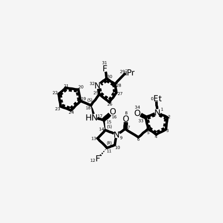 CCn1cccc(CC(=O)N2C[C@H](F)C[C@H]2C(=O)N[C@@H](c2ccccc2)c2ccc(C(C)C)c(F)n2)c1=O